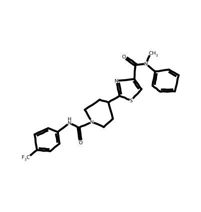 CN(C(=O)c1csc(C2CCN(C(=O)Nc3ccc(C(F)(F)F)cc3)CC2)n1)c1ccccc1